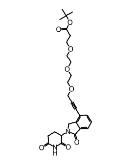 CC(C)(C)OC(=O)CCOCCOCCOCC#Cc1cccc2c1CN(C1CCC(=O)NC1=O)C2=O